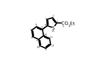 CCOC(=O)c1ccc(-c2cccc3ccccc23)s1